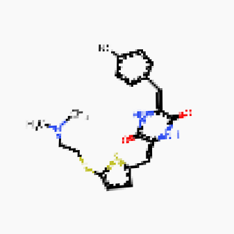 CN(C)CCSc1ccc(C=c2[nH]c(=O)c(=Cc3ccc(C#N)cc3)[nH]c2=O)s1